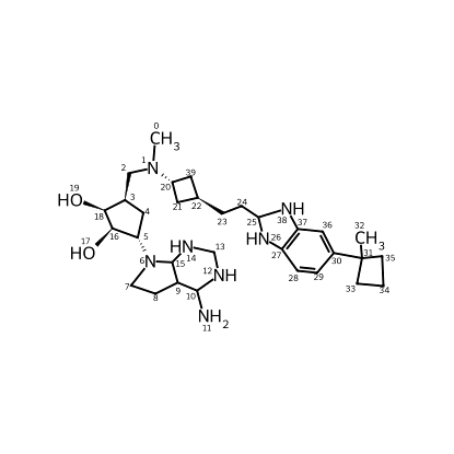 CN(C[C@H]1C[C@H](N2CCC3C(N)NCNC32)[C@@H](O)[C@H]1O)[C@H]1C[C@H](CCC2Nc3ccc(C4(C)CCC4)cc3N2)C1